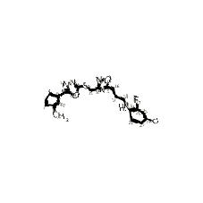 Cc1cccc(-c2nnc(SCc3noc(CCCNc4ccc(Cl)cc4F)n3)o2)c1